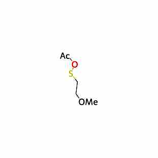 COCCSOC(C)=O